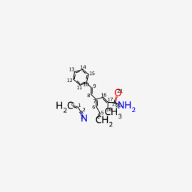 C=CC#N.C=CC=C(C=Cc1ccccc1)C=C(C)C(N)=O